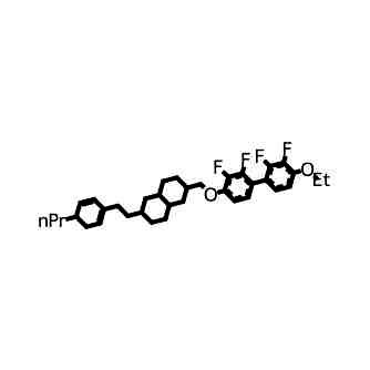 CCCC1C=CC(CCC2CCC3CC(COc4ccc(-c5ccc(OCC)c(F)c5F)c(F)c4F)CCC3C2)=CC1